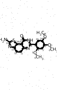 COc1cc(OC)c(-c2nc3ccc4nc(N)sc4c3c(=O)[nH]2)cc1OC